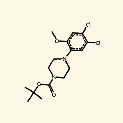 COc1cc(Cl)c(Cl)cc1N1CCN(C(=O)OC(C)(C)C)CC1